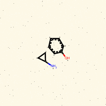 NC1CC1.Oc1ccccc1